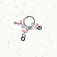 CC(C)(C)OC(=O)N[C@@H]1COC/C=C/CCCCC[C@H](B2OC3CC4CC(C4(C)C)C3(C)O2)NC(=O)[C@@H]2C[C@@H](OC(=O)N3Cc4ccccc4C3)CN2C1=O